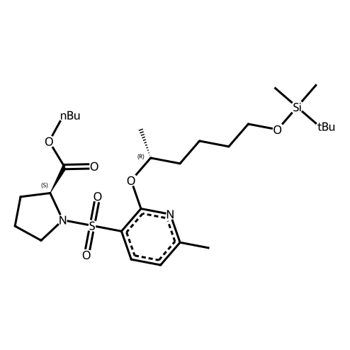 CCCCOC(=O)[C@@H]1CCCN1S(=O)(=O)c1ccc(C)nc1O[C@H](C)CCCCO[Si](C)(C)C(C)(C)C